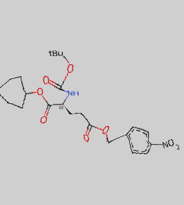 CC(C)(C)OC(=O)N[C@@H](CCC(=O)OCc1ccc([N+](=O)[O-])cc1)C(=O)OC1CCCCC1